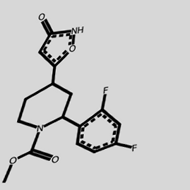 COC(=O)N1CCC(c2cc(=O)[nH]o2)CC1c1ccc(F)cc1F